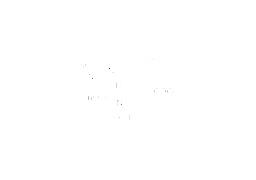 CCCCCCCCN(C)CCC(=O)[O-].CCCCCCCCN(C)CCC(=O)[O-].[Ni+2]